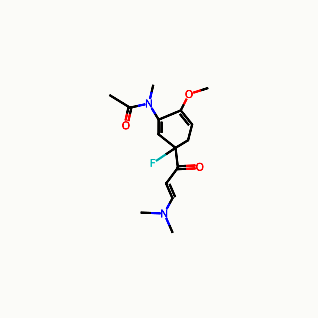 COC1=CCC(F)(C(=O)C=CN(C)C)C=C1N(C)C(C)=O